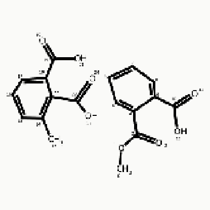 COC(=O)c1ccccc1C(=O)O.Cc1cccc(C(=O)O)c1C(=O)O